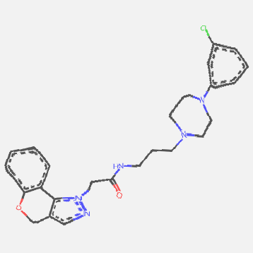 O=C(Cn1ncc2c1-c1ccccc1OC2)NCCCN1CCN(c2cccc(Cl)c2)CC1